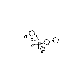 O=C1C[C@](c2ccc(N3CCCCC3)cc2)(c2ccsc2)NC(=O)C1Oc1ccccc1Cl